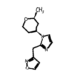 C[C@H]1C[C@@H](n2ccnc2Cc2ccon2)CCO1